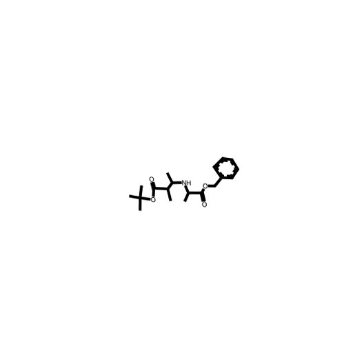 CC(NC(C)C(C)C(=O)OC(C)(C)C)C(=O)OCc1ccccc1